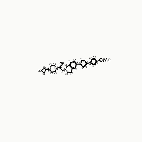 COc1ccc(-c2ccc(-c3ccc4c(c3)CCN(CC(=O)N3CCN(C5CCC5)CC3)C4)cc2)cc1